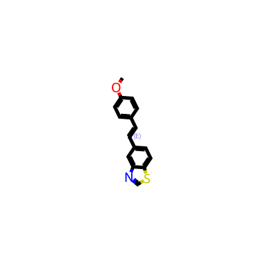 COc1ccc(/C=C/c2ccc3scnc3c2)cc1